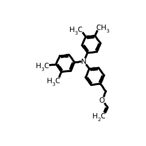 C=COCc1ccc(N(c2ccc(C)c(C)c2)c2ccc(C)c(C)c2)cc1